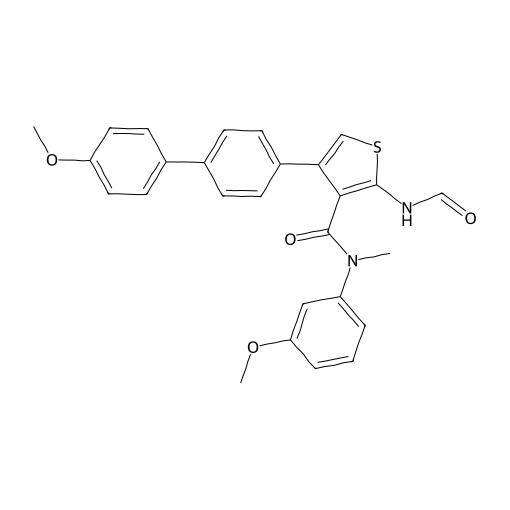 COc1ccc(-c2ccc(-c3csc(NC=O)c3C(=O)N(C)c3cccc(OC)c3)cc2)cc1